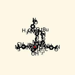 Cc1cc([C@H](C(=O)N2C[C@H](OCc3cc([C@H](C(=O)N4C[C@H](OCc5noc([C@H](C(=O)N6C[C@H](O)C[C@H]6C(=O)NCc6ccc(-c7scnc7C)cc6)C(C)C)n5)C[C@H]4C(=O)N[C@@H](C)c4ccc(-c5cnco5)cc4)C(C)(C)C)on3)C[C@H]2C(=O)N[C@@H](C)c2ccc(-c3cnco3)cc2)C(C)C)on1